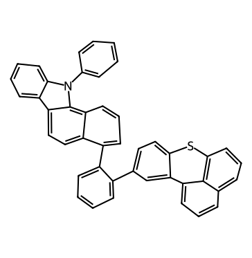 c1ccc(-n2c3ccccc3c3ccc4c(-c5ccccc5-c5ccc6c(c5)-c5cccc7cccc(c57)S6)cccc4c32)cc1